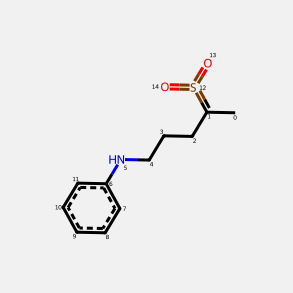 CC(CCCNc1ccccc1)=S(=O)=O